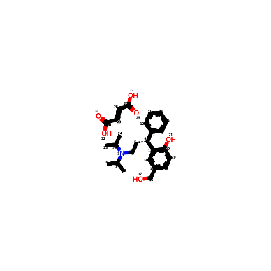 CC(C)N(CC[C@H](c1ccccc1)c1cc(CO)ccc1O)C(C)C.O=C(O)C=CC(=O)O